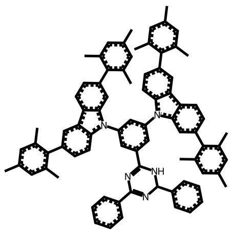 Cc1cc(C)c(-c2ccc3c(c2)c2ccc(-c4c(C)cc(C)cc4C)cc2n3-c2cc(C3=NC(c4ccccc4)=NC(c4ccccc4)N3)cc(-n3c4ccc(-c5c(C)cc(C)cc5C)cc4c4ccc(-c5c(C)cc(C)cc5C)cc43)c2)c(C)c1